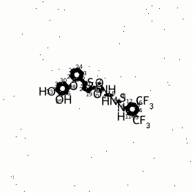 O=S(=O)(NCCNC(=S)Nc1cc(C(F)(F)F)cc(C(F)(F)F)c1)c1ccc(-c2ccccc2Oc2ccc(O)c(O)c2)s1